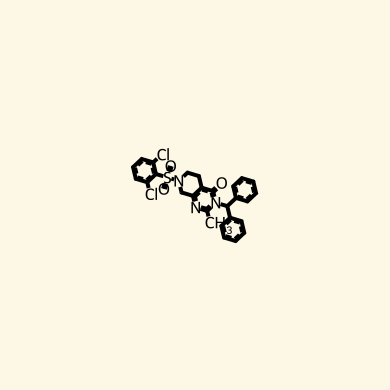 Cc1nc2c(c(=O)n1C(c1ccccc1)c1ccccc1)CCN(S(=O)(=O)c1c(Cl)cccc1Cl)C2